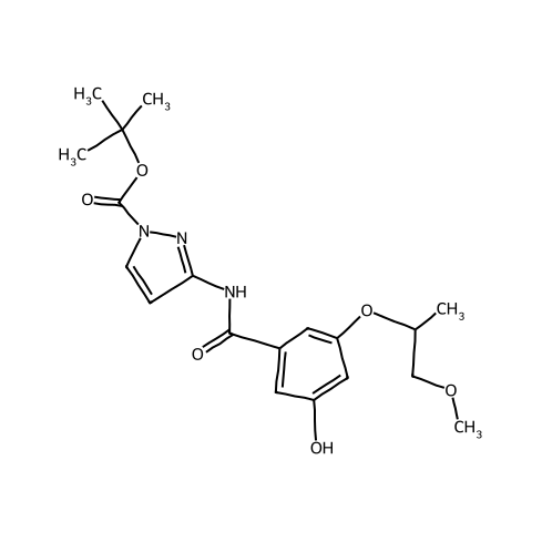 COCC(C)Oc1cc(O)cc(C(=O)Nc2ccn(C(=O)OC(C)(C)C)n2)c1